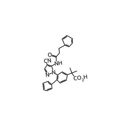 CC(C)(C(=O)O)c1ccc(-c2ccccc2)c(-n2ncc(C#N)c2NC(=O)CCc2ccccc2)c1